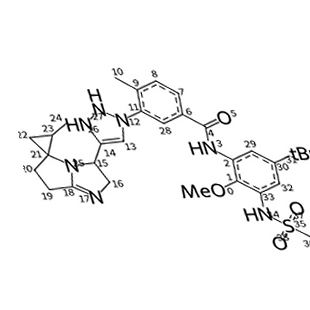 COc1c(NC(=O)c2ccc(C)c(N3C=C(C4CN=C5CCC6(CC6C)N54)NN3)c2)cc(C(C)(C)C)cc1NS(C)(=O)=O